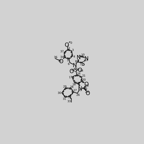 COc1ccc(CN(c2ncns2)S(=O)(=O)c2ccc3c(c2)oc(=O)n3Cc2ccccc2I)c(OC)c1